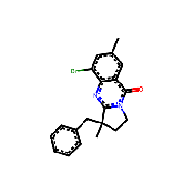 Cc1cc(Br)c2nc3n(c(=O)c2c1)CCC3(C)Cc1ccccc1